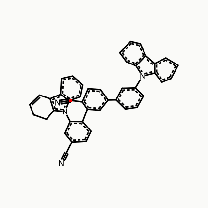 N#Cc1ccc(-c2cc(-c3cccc(-n4c5ccccc5c5ccccc54)c3)ccc2C#N)c(-n2c3c(c4ccccc42)C=CCC3)c1